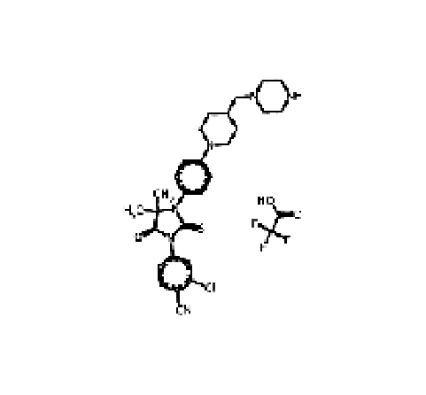 CC1(C)C(=O)N(c2ccc(C#N)c(Cl)c2)C(=S)N1c1ccc(N2CCC(CN3CCNCC3)CC2)cc1.O=C(O)C(F)(F)F